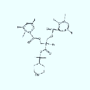 CCC(COC(=O)c1cc(I)cc(I)c1I)(COC(=O)c1cc(I)cc(I)c1I)C(=O)OC(C)(C)C1CCNCC1